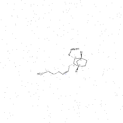 CCCCCCCCCS[C@@H]1[C@@H]2CC[C@@H](C2)[C@@H]1C/C=C\CCCC(=O)O